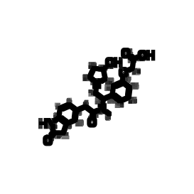 CN(C(=O)Cc1ccc2c(c1)CC(=O)N2)C(CN1CC[C@@H](O)C1)c1cccc(OCC(=O)O)c1